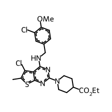 CCOC(=O)C1CCN(c2nc(NCc3ccc(OC)c(Cl)c3)c3c(Cl)c(C)sc3n2)CC1